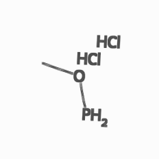 COP.Cl.Cl